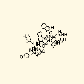 C[C@@H](O)[C@H](NC(=O)[C@H](Cc1ccc(O)cc1)NC(=O)CNC(=O)CN)C(=O)N[C@@H](Cc1ccccc1)C(=O)N[C@@H](Cc1c[nH]cn1)C(=O)N[C@@H](Cc1c[nH]c2ccccc12)C(=O)N[C@@H](Cc1c[nH]cn1)C(=O)O